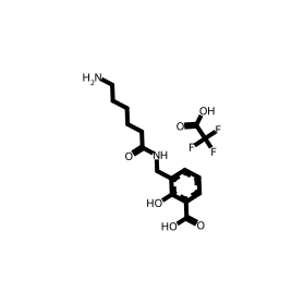 NCCCCCC(=O)NCc1cccc(C(=O)O)c1O.O=C(O)C(F)(F)F